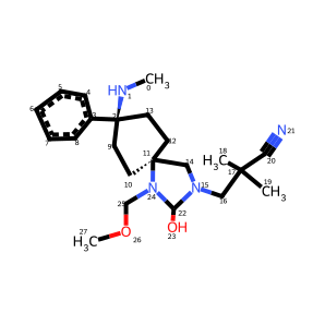 CN[C@]1(c2ccccc2)CC[C@]2(CC1)CN(CC(C)(C)C#N)C(O)N2COC